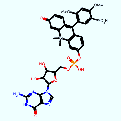 COc1cc(OC)c(S(=O)(=O)O)cc1C1=C2C=CC(=O)C=C2[Si](C)(C)c2cc(OP(=O)(O)OCC3OC(n4cnc5c(=O)[nH]c(N)nc54)C(O)C3O)ccc21